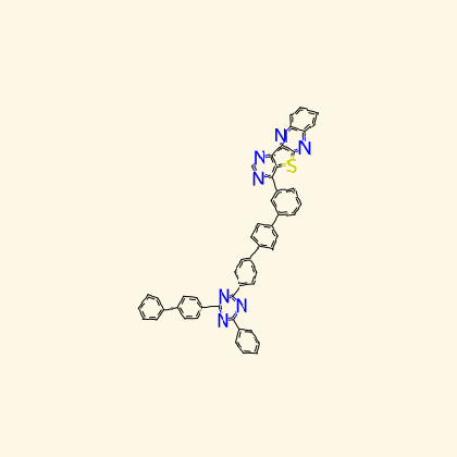 c1ccc(-c2ccc(-c3nc(-c4ccccc4)nc(-c4ccc(-c5ccc(-c6cccc(-c7ncnc8c7sc7nc9ccccc9nc78)c6)cc5)cc4)n3)cc2)cc1